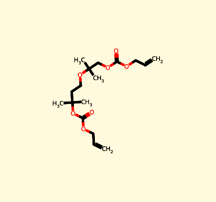 C=CCOC(=O)OCC(C)(C)OCCC(C)(C)OC(=O)OCC=C